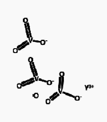 [O].[O]=[V](=[O])[O-].[O]=[V](=[O])[O-].[O]=[V](=[O])[O-].[Y+3]